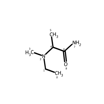 CCN(C)C(C)C(N)=O